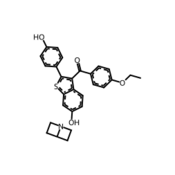 C1CN2CCC12.CCOc1ccc(C(=O)c2c(-c3ccc(O)cc3)sc3cc(O)ccc23)cc1